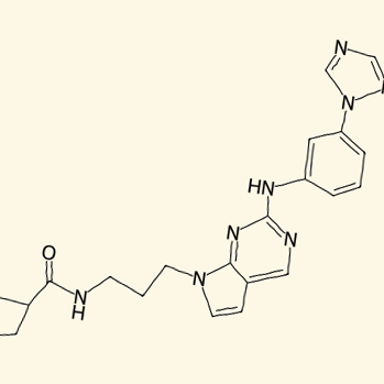 O=C(NCCCn1ccc2cnc(Nc3cccc(-n4cncn4)c3)nc21)C1CCC1